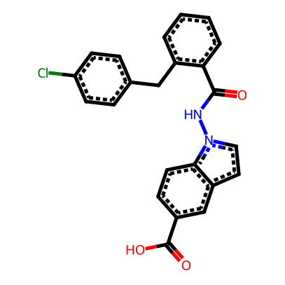 O=C(O)c1ccc2c(ccn2NC(=O)c2ccccc2Cc2ccc(Cl)cc2)c1